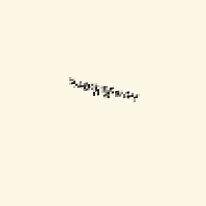 CCCCOCCOCCOC(=O)CCCC(=O)OCCOCCOCCCC